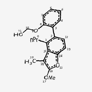 CCCc1c(-c2ccccc2OCO)ccc2oc(OC)c(C)c12